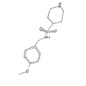 COc1ccc(CNS(=O)(=O)C2CCNCC2)cc1